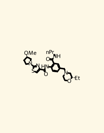 CCCNC(=O)c1cc(CN2CCO[C@@H](CC)C2)ccc1NC(=O)c1csc(N2CC[C@H](OC)C2)n1